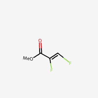 COC(=O)/C(F)=C/F